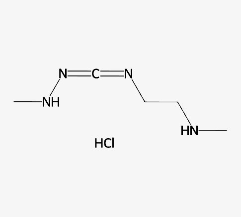 CNCCN=C=NNC.Cl